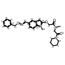 CN(CC(=O)N1CCCCC1)C(=O)COc1cc2cc(/C=N/OCc3ccccc3)ccc2n1C